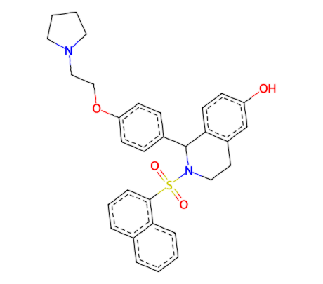 O=S(=O)(c1cccc2ccccc12)N1CCc2cc(O)ccc2C1c1ccc(OCCN2CCCC2)cc1